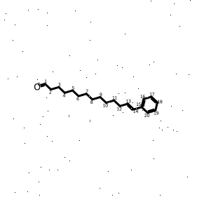 O=CCCCCCCCCCCCC=Cc1ccccc1